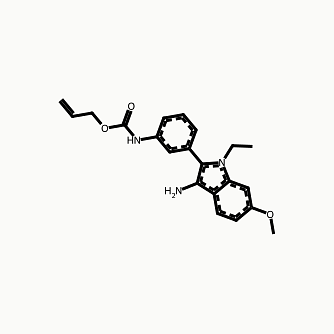 C=CCOC(=O)Nc1cccc(-c2c(N)c3ccc(OC)cc3n2CC)c1